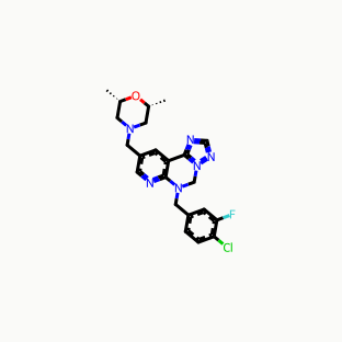 C[C@@H]1CN(Cc2cnc3c(c2)-c2ncnn2CN3Cc2ccc(Cl)c(F)c2)C[C@H](C)O1